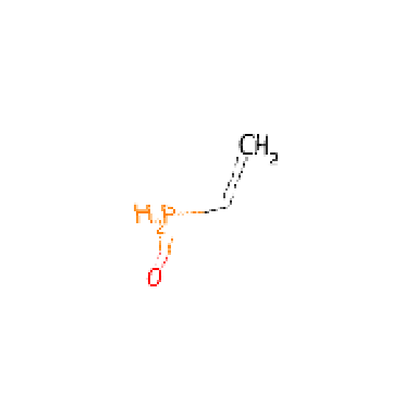 C=C[PH2]=O